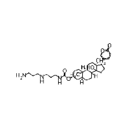 C[C@]12CC[C@H](OC(=O)NCCCNCCCN)C[C@H]1CC[C@@H]1[C@@H]2CC[C@]2(C)[C@H](c3ccc(=O)oc3)CC[C@]12O